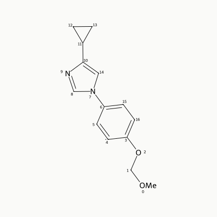 COCOc1[c]cc(-n2cnc(C3CC3)c2)cc1